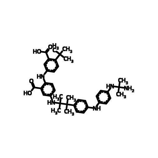 CC(C)(N)Nc1ccc(Nc2ccc(C(C)(C)C(C)(C)Nc3ccc(Nc4ccc(C(C)(C)C)c(C(=O)O)c4)c(C(=O)O)c3)cc2)cc1